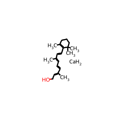 CC(C=CC1=C(C)CCCC1(C)C)=CC=CC(C)=CCO.[CaH2]